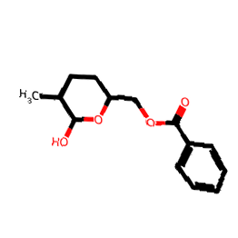 CC1CCC(COC(=O)c2ccccc2)OC1O